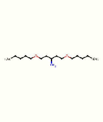 CCCCCCCCCCCCCCOCCC(N)CCOCCCCCCCCCCCCCC